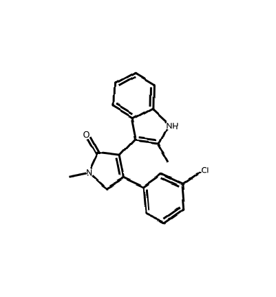 Cc1[nH]c2ccccc2c1C1=C(c2cccc(Cl)c2)CN(C)C1=O